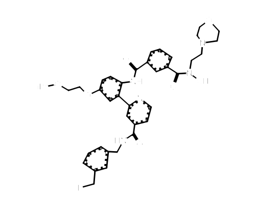 CC(C)OCCOc1ccc(NC(=O)c2cccc(C(=O)N(C)CCN3CCOCC3)c2)c(-c2cc(C(=O)NCc3cccc(CF)c3)ccn2)c1